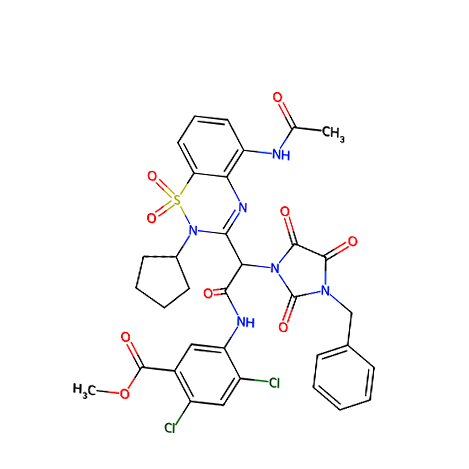 COC(=O)c1cc(NC(=O)C(C2=Nc3c(NC(C)=O)cccc3S(=O)(=O)N2C2CCCC2)N2C(=O)C(=O)N(Cc3ccccc3)C2=O)c(Cl)cc1Cl